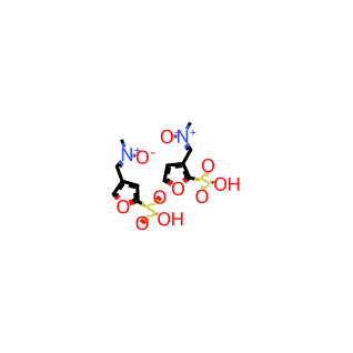 C[N+]([O-])=Cc1ccoc1S(=O)(=O)O.C[N+]([O-])=Cc1coc(S(=O)(=O)O)c1